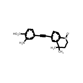 CC1(C)CC[S+]([O-])c2ccc(C#Cc3ccc(C(=O)O)c(N)c3)cc21